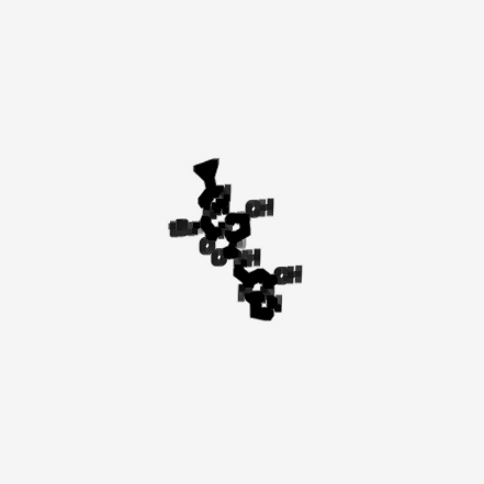 CC(C)(C)[C@@H](C(=O)N1C[C@H](O)C[C@H]1C(=O)NCc1cc(O)n2nccc2n1)n1cc(C2CC2)nn1